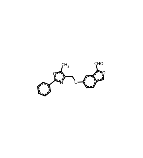 Cc1oc(-c2ccccc2)nc1COc1ccc2coc(C=O)c2c1